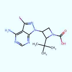 CC(C)(C)C1C(n2nc(I)c3c(N)ncnc32)CN1C(=O)O